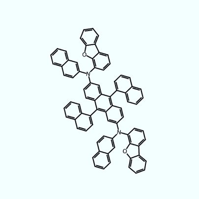 c1ccc2cc(N(c3ccc4c(-c5cccc6ccccc56)c5cc(N(c6ccc7ccccc7c6)c6cccc7c6oc6ccccc67)ccc5c(-c5cccc6ccccc56)c4c3)c3cccc4c3oc3ccccc34)ccc2c1